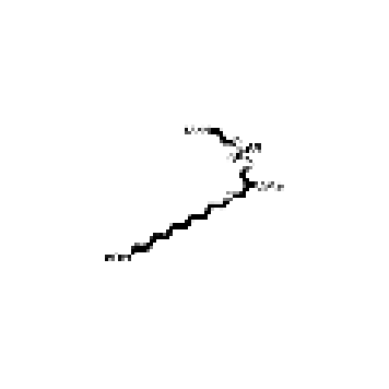 CCCCCCCCC=CCCCCCCCCOCC(COP(=O)(O)OCCNC)OC